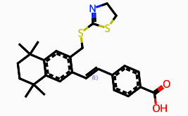 CC1(C)CCC(C)(C)c2cc(CSC3=NCCS3)c(/C=C/c3ccc(C(=O)O)cc3)cc21